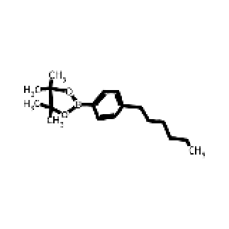 CCCCCCc1ccc(B2OC(C)(C)C(C)(C)O2)cc1